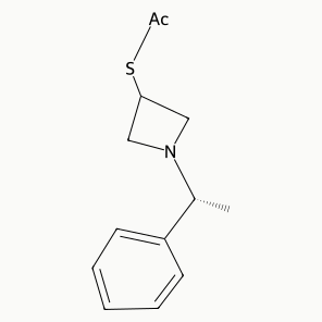 CC(=O)SC1CN([C@H](C)c2ccccc2)C1